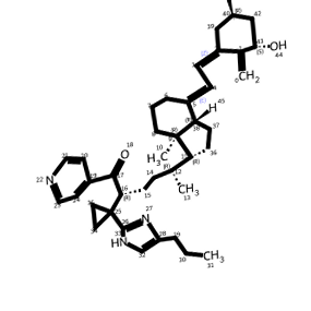 C=C1/C(=C\C=C2/CCC[C@]3(C)[C@@H]([C@H](C)CC[C@@H](C(=O)c4ccncc4)C4(c5nc(CCC)c[nH]5)CC4)CC[C@@H]23)C[C@@H](O)C[C@@H]1O